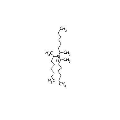 CCCCCCC(C)[SiH](C(C)CCCCCC)C(C)CCCCCC